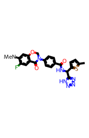 CNc1cc2c(cc1F)C(=O)N(c1ccc(C(=O)NC(c3nnn[nH]3)c3ccc(C)s3)cc1)CO2